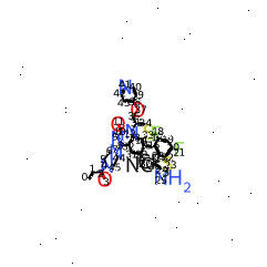 C=CC(=O)N1CCN(c2nc(=O)n3c4c(c(-c5c(F)cc(F)c6sc(N)c(C#N)c56)c(C(F)(F)F)cc24)SCC3COc2ccncc2)CC1